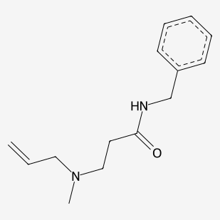 C=CCN(C)CCC(=O)NCc1ccccc1